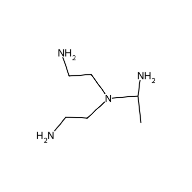 CC(N)N(CCN)CCN